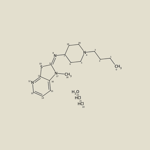 CCCCN1CCC(N=c2sc3ncccc3n2C)CC1.Cl.Cl.O